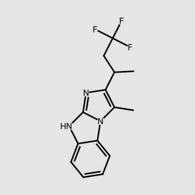 Cc1c(C(C)CC(F)(F)F)nc2[nH]c3ccccc3n12